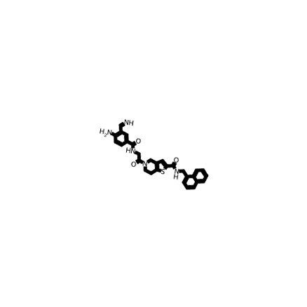 N=Cc1cc(C(=O)NCC(=O)N2CCc3sc(C(=O)NCc4cccc5ccccc45)cc3C2)ccc1N